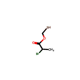 CC(Br)C(=O)OCS